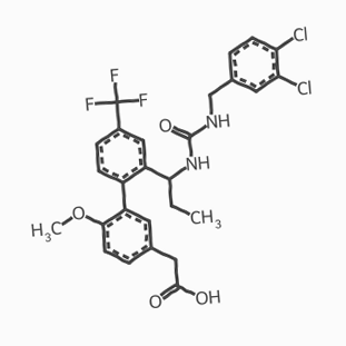 CCC(NC(=O)NCc1ccc(Cl)c(Cl)c1)c1cc(C(F)(F)F)ccc1-c1cc(CC(=O)O)ccc1OC